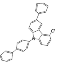 Clc1cccc2c1c1cc(-c3ccccc3)ccc1n2-c1ccc(-c2ccccc2)cc1